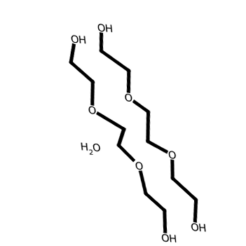 O.OCCOCCOCCO.OCCOCCOCCO